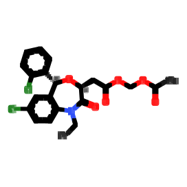 CC(C)CN1C(=O)[C@H](CC(=O)OCOC(=O)C(C)(C)C)O[C@@H](c2ccccc2Cl)c2cc(Cl)ccc21